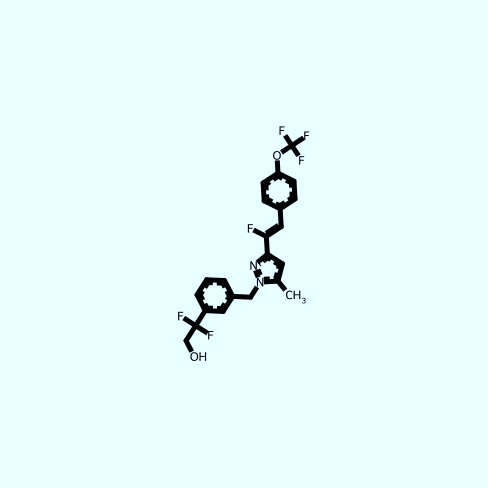 Cc1cc(C(F)=Cc2ccc(OC(F)(F)F)cc2)nn1Cc1cccc(C(F)(F)CO)c1